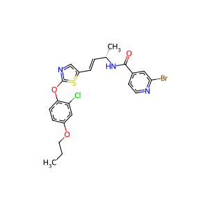 CCCOc1ccc(Oc2ncc(/C=C/[C@H](C)NC(=O)c3ccnc(Br)c3)s2)c(Cl)c1